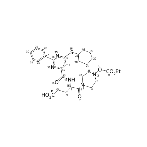 CCOC(=O)ON1CCN(C(=O)[C@H](CCC(=O)O)NC(=O)c2cc(SC3CCCCC3)nc(-c3ccccc3)n2)CC1